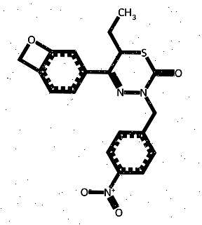 CCC1SC(=O)N(Cc2ccc([N+](=O)[O-])cc2)N=C1c1ccc2c(c1)OC2